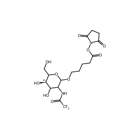 O=C(CCCCOC1OC(CO)[C@H](O)C(O)C1NC(=O)C(F)(F)F)ON1C(=O)CCC1=O